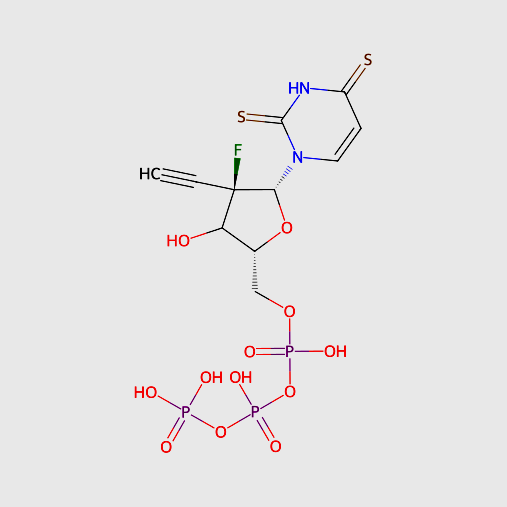 C#C[C@@]1(F)C(O)[C@@H](COP(=O)(O)OP(=O)(O)OP(=O)(O)O)O[C@H]1n1ccc(=S)[nH]c1=S